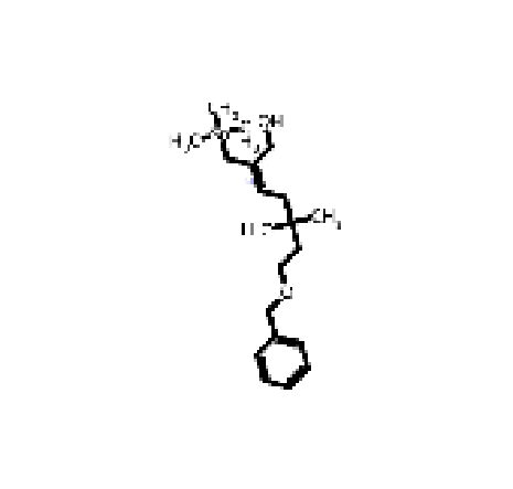 CC(C)(C/C=C(\CO)[CH2][Sn]([CH3])([CH3])[CH3])CCOCc1ccccc1